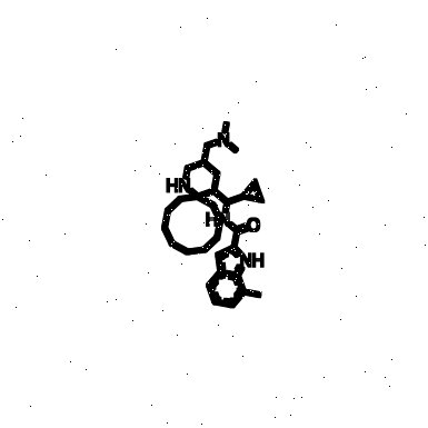 Cc1cccc2cc(C(=O)NC(C3CC3)C3CC(CN(C)C)CNC34CCCCCCCCC4)[nH]c12